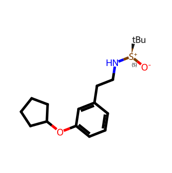 CC(C)(C)[S@@+]([O-])NCCc1cccc(OC2CCCC2)c1